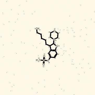 CCCCCCC1c2cc(OS(C)(=O)=O)ccc2OC1N1CCOCC1